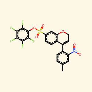 Cc1ccc(C2=CCOc3cc(S(=O)(=O)Oc4c(F)c(F)c(F)c(F)c4F)ccc32)c([N+](=O)[O-])c1